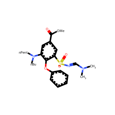 CCCCCN(CCCC)c1cc(C(=O)OC)cc(S(=O)(=O)N=CN(C)C)c1Oc1ccccc1